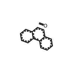 C=O.c1ccc2c(c1)ccc1ccccc12